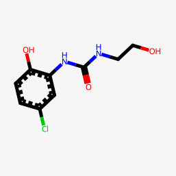 O=C(NCCO)Nc1cc(Cl)ccc1O